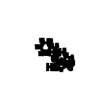 CC1(C)OCC(CNCc2ccccc2)N1C(=O)O